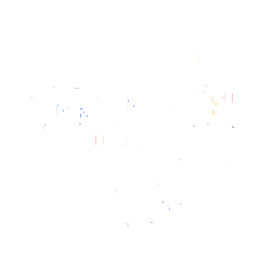 O=C(O)N1C2CC1CN(c1nc3c(OC(F)(F)F)c(C4(O)CC4)cc(-c4nccs4)c3o1)C2